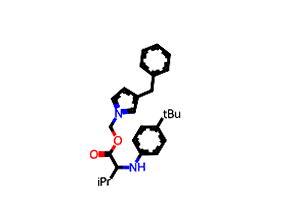 CC(C)C(Nc1ccc(C(C)(C)C)cc1)C(=O)OCn1ccc(Cc2ccccc2)c1